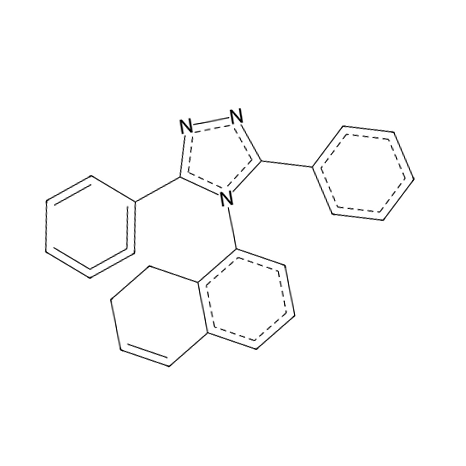 C1=C=C(c2nnc(-c3ccccc3)n2-c2cccc3c2CCC=C3)C=CC=1